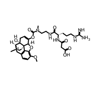 COc1ccc2c3c1O[C@@H]1C(OC(=O)N(C)CCNC(=O)[C@H](CCCNC(=N)N)NC(=O)CC(=O)O)=CC[C@]4(O)[C@H](C2)N(C)CC[C@@]314